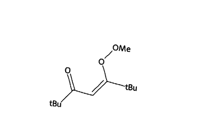 COO/C(=C\C(=O)C(C)(C)C)C(C)(C)C